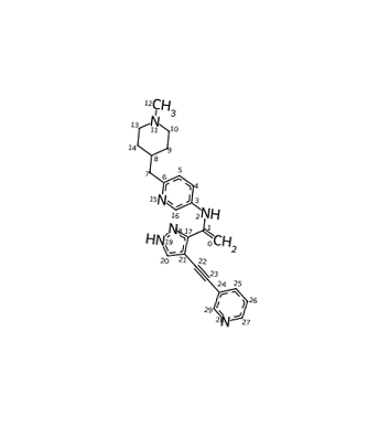 C=C(Nc1ccc(CC2CCN(C)CC2)nc1)c1n[nH]cc1C#Cc1cccnc1